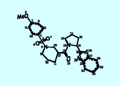 COc1ccc(S(=O)(=O)N2CCCC(C(=O)N3CCCC3c3nc4ccccc4s3)C2)cc1